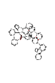 c1ccc(-c2ccccc2N(c2ccc(-c3cccc4c3oc3ccccc34)cc2)c2ccc3c(c2)C2(c4ccccc4-c4ccccc4-3)c3ccccc3-c3c2c2ccccc2c2ccccc32)cc1